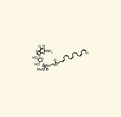 CC/C=C\C/C=C\C/C=C\C/C=C\C/C=C\C/C=C\CCC(=O)NCCNP(=O)(OC)OC[C@H]1O[C@@H](n2cnc3c(=O)[nH]c(N)nc32)[C@](C)(O)[C@@H]1O